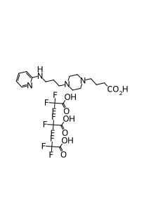 O=C(O)C(F)(F)F.O=C(O)C(F)(F)F.O=C(O)C(F)(F)F.O=C(O)CCCN1CCN(CCCNc2ccccn2)CC1